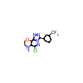 CN1CCOc2c1c(Cl)nn1c(-c3cccc(C(F)(F)F)c3)nnc21